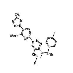 CC[C@@H](c1ccc(F)cc1)N(CCF)c1nnc(-c2ccc(-n3cnc(C)c3)c(OC)n2)cc1C